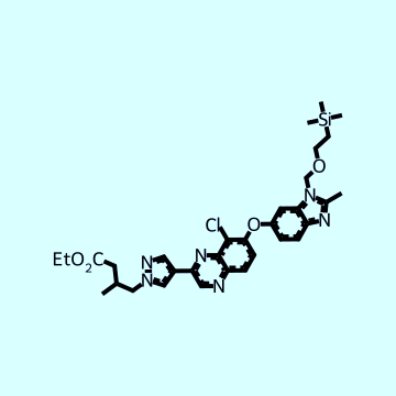 CCOC(=O)CC(C)Cn1cc(-c2cnc3ccc(Oc4ccc5nc(C)n(COCC[Si](C)(C)C)c5c4)c(Cl)c3n2)cn1